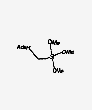 CO[Si](CNC(C)=O)(OC)OC